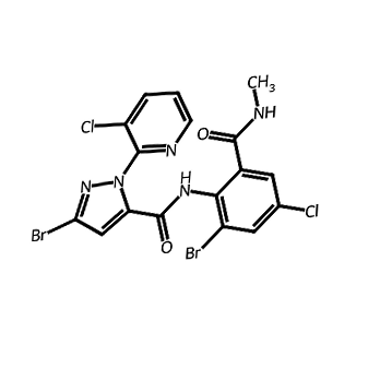 CNC(=O)c1cc(Cl)cc(Br)c1NC(=O)c1cc(Br)nn1-c1ncccc1Cl